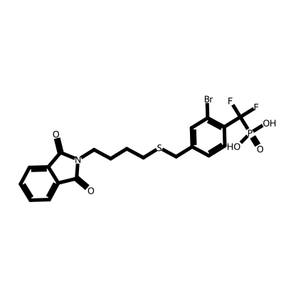 O=C1c2ccccc2C(=O)N1CCCCSCc1ccc(C(F)(F)P(=O)(O)O)c(Br)c1